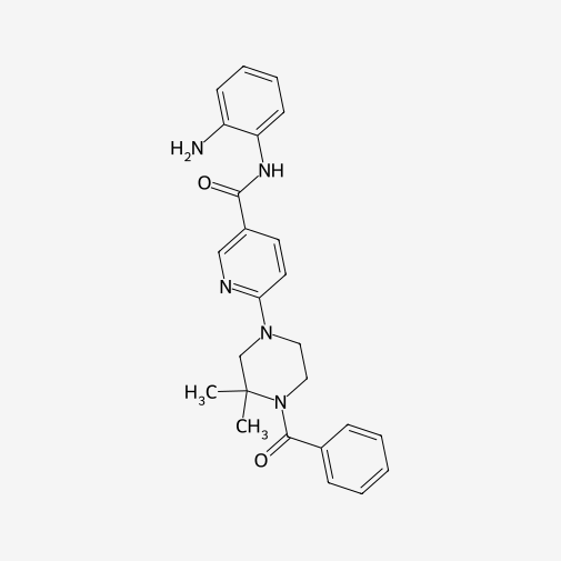 CC1(C)CN(c2ccc(C(=O)Nc3ccccc3N)cn2)CCN1C(=O)c1ccccc1